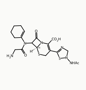 CC(=O)NN1CN=C(C2=C(C(=O)O)N3C(=O)C(N(C(=O)CN)C4=CCCCC4)[C@@H]3SC2)S1